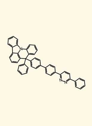 c1ccc(-c2ccc(-c3ccc(-c4ccc(C5(c6ccccc6)c6ccccc6-n6c7ccccc7c7cccc5c76)cc4)cc3)nn2)cc1